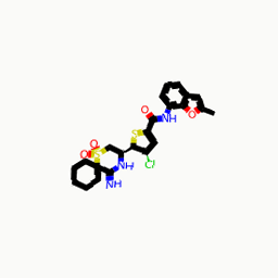 Cc1cc2cccc(NC(=O)C3=C[C@H](Cl)C([C@@H]4CS(=O)(=O)C5(CCCCC5)C(=N)N4)S3)c2o1